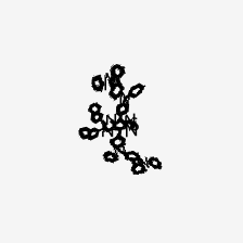 c1ccc(N(c2ccc(-c3c4nsnc4c(-c4ccc(N(c5ccccc5)c5ccc6c(c5)c5ccccc5n6-c5ccccc5)cc4)c4nc(-c5ccc6ccccc6c5)c(-c5ccc6ccccc6c5)nc34)cc2)c2ccc3c(c2)c2ccccc2n3-c2ccccc2)cc1